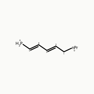 CCCCC=CC=CP